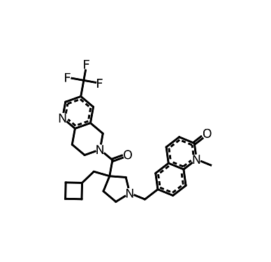 Cn1c(=O)ccc2cc(CN3CCC(CC4CCC4)(C(=O)N4CCc5ncc(C(F)(F)F)cc5C4)C3)ccc21